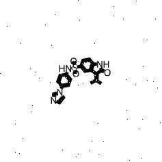 CC(C)=C1C(=O)Nc2ccc(S(=O)(=O)Nc3ccc(-n4ccnc4)cc3)cc21